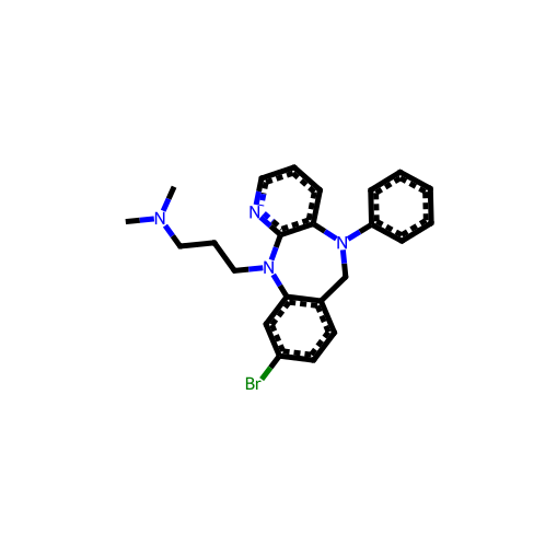 CN(C)CCCN1c2cc(Br)ccc2CN(c2ccccc2)c2cccnc21